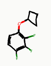 Fc1ccc(OC2CCC2)c(F)c1F